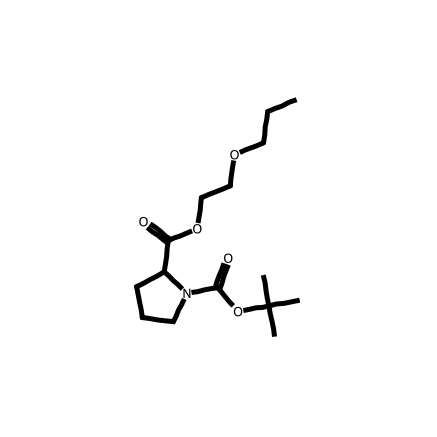 CCCOCCOC(=O)C1CCCN1C(=O)OC(C)(C)C